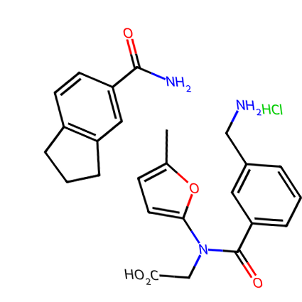 Cc1ccc(N(CC(=O)O)C(=O)c2cccc(CN)c2)o1.Cl.NC(=O)c1ccc2c(c1)CCC2